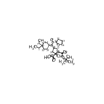 CCC1(CC)CCC(N(C(=O)[C@@H]2CCCO2)[C@@H]2CN(C(=O)OC(C)(C)C)[C@](C)(C(=O)O)C2)CC1